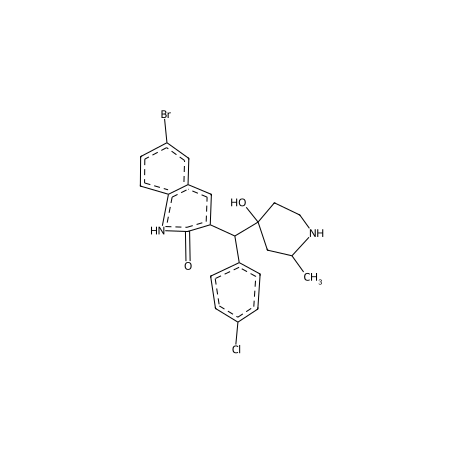 CC1CC(O)(C(c2ccc(Cl)cc2)c2cc3cc(Br)ccc3[nH]c2=O)CCN1